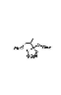 COOC(C)C(OOC)(OOC)OC(=O)O